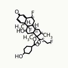 C[C@@H]1C[C@H]2[C@@H]3C[C@H](F)C4=CC(=O)C=C[C@]4(C)[C@@]3(F)[C@@H](O)C[C@]2(C)[C@@]1(OC(=O)C1CCC(O)CC1)C(=O)SCF